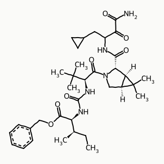 CC[C@@H](C)[C@H](NC(=O)N[C@H](C(=O)N1C[C@H]2[C@@H]([C@H]1C(=O)NC(CC1CC1)C(=O)C(N)=O)C2(C)C)C(C)(C)C)C(=O)OCc1ccccc1